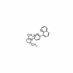 C[C@@H]1CC[C@H](C)N1c1ccc(-c2cccc3cccnc23)nn1